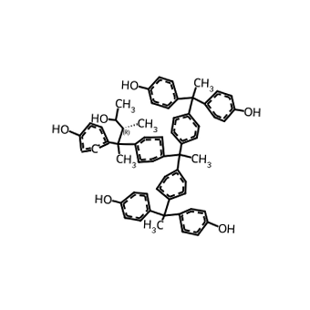 CC(O)[C@H](C)C(C)(c1ccc(O)cc1)c1ccc(C(C)(c2ccc(C(C)(c3ccc(O)cc3)c3ccc(O)cc3)cc2)c2ccc(C(C)(c3ccc(O)cc3)c3ccc(O)cc3)cc2)cc1